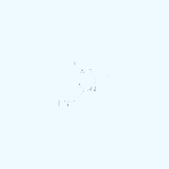 NCc1nc(Br)cc(Br)n1